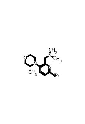 CC(C)c1ccc(N2CCOC[C@H]2C)c(CN(C)C)n1